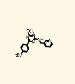 CC(C)(C)c1ccc(-c2nc(NCc3cccnc3)nc(C(Cl)(Cl)Cl)n2)cc1